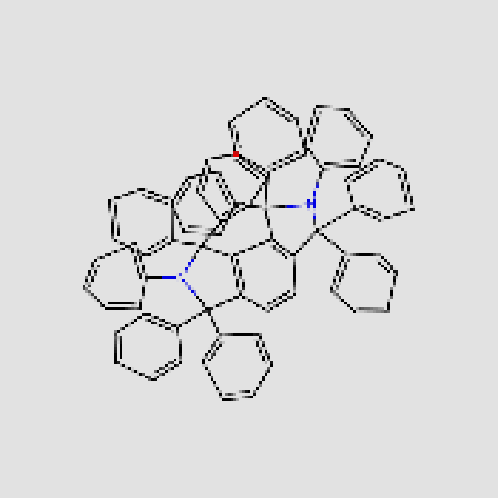 c1ccc(N2C(c3ccccc3)(c3ccccc3)c3ccc4c(c3C2(c2ccccc2)c2ccccc2)C(c2ccccc2)(c2ccccc2)N(c2ccccc2)C4(c2ccccc2)c2ccccc2)cc1